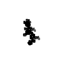 Cc1ccc(C(=O)Nc2cc(Cl)cc(CN3CCN(C(=O)C4CCCO4)C(C)C3)c2C)cc1F